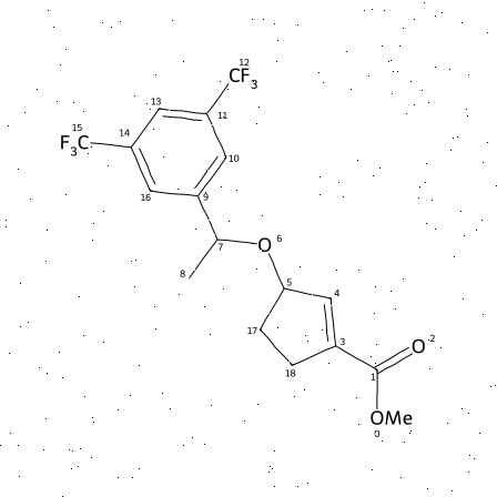 COC(=O)C1=CC(OC(C)c2cc(C(F)(F)F)cc(C(F)(F)F)c2)CC1